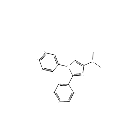 CN(C)c1cn(-c2ccccc2)c(-c2ccccc2)n1